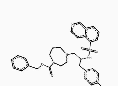 O=C(OCc1ccccc1)N1CCCN(CC(Cc2ccc(O)cc2)NS(=O)(=O)c2cccc3cnccc23)CC1